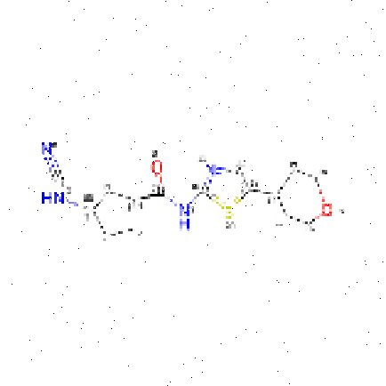 N#CN[C@H]1CC[C@H](C(=O)Nc2ncc(C3CCOCC3)s2)C1